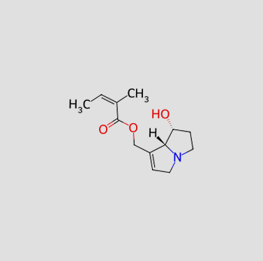 C/C=C(/C)C(=O)OCC1=CCN2CC[C@@H](O)[C@@H]12